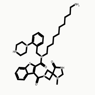 CN1CNC(=O)C12CN(C(=O)c1c(C(=O)N(CCCCCCCCCCN)Cc3ccccc3N3CCNCC3)sc3ccccc13)C2